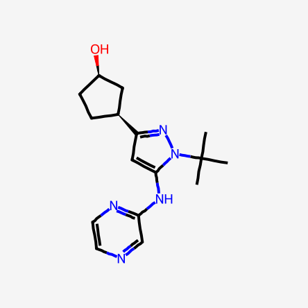 CC(C)(C)n1nc([C@H]2CC[C@@H](O)C2)cc1Nc1cnccn1